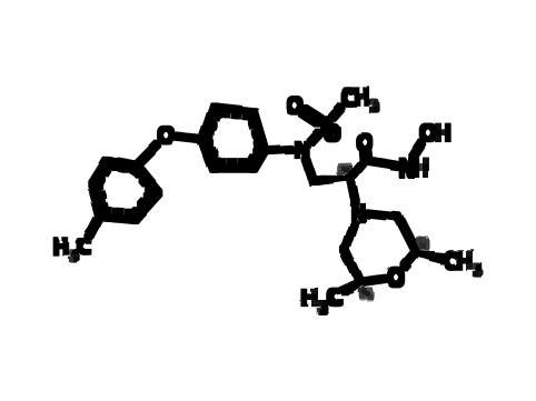 Cc1ccc(Oc2ccc(N(C[C@@H](C(=O)NO)N3C[C@@H](C)O[C@@H](C)C3)S(C)(=O)=O)cc2)cc1